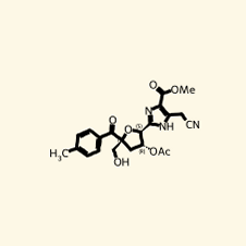 COC(=O)c1nc([C@@H]2O[C@@](CO)(C(=O)c3ccc(C)cc3)C[C@H]2OC(C)=O)[nH]c1CC#N